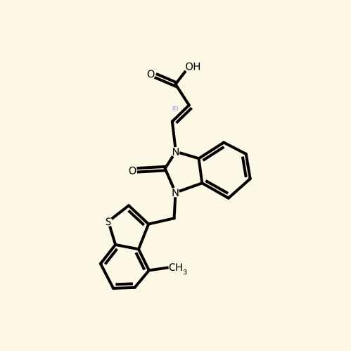 Cc1cccc2scc(Cn3c(=O)n(/C=C/C(=O)O)c4ccccc43)c12